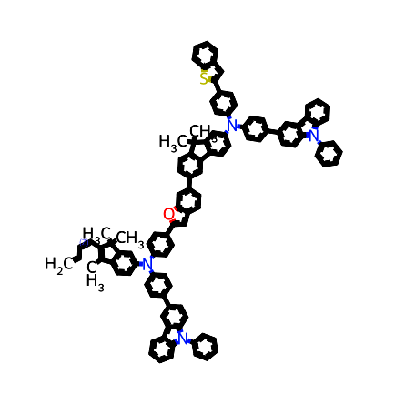 C=C/C=C\C1=C(C)c2ccc(N(c3ccc(-c4ccc5c(c4)c4ccccc4n5-c4ccccc4)cc3)c3ccc(-c4cc5ccc(-c6ccc7c(c6)-c6ccc(N(c8ccc(-c9ccc%10c(c9)c9ccccc9n%10-c9ccccc9)cc8)c8ccc(-c9cc%10ccccc%10s9)cc8)cc6C7(C)C)cc5o4)cc3)cc2C1(C)C